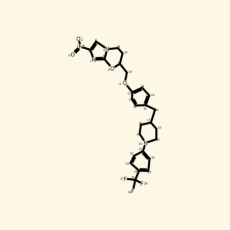 O=[N+]([O-])c1cn2c(n1)OC(COc1ccc(CC3CCN(c4ccc(C(F)(F)F)cc4)CC3)cc1)CC2